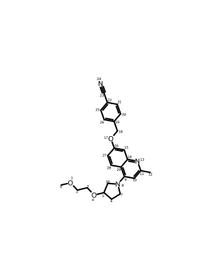 COCCOC1CCN(c2cc(C)nc3cc(OCc4ccc(C#N)cc4)ccc23)C1